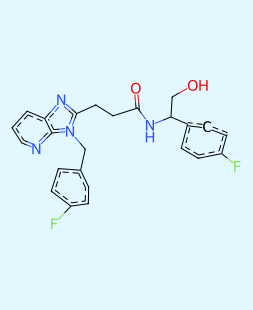 O=C(CCc1nc2cccnc2n1Cc1ccc(F)cc1)NC(CO)c1ccc(F)cc1